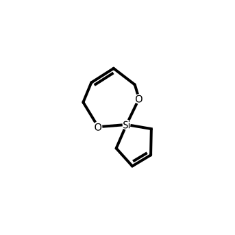 C1=CCO[Si]2(CC=CC2)OC1